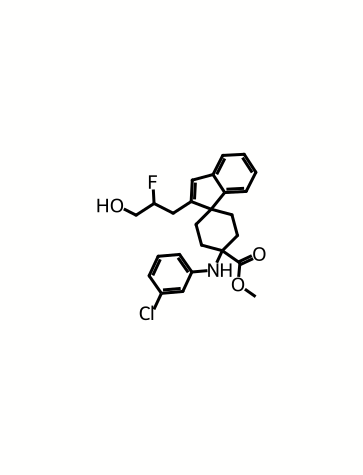 COC(=O)C1(Nc2cccc(Cl)c2)CCC2(CC1)C(CC(F)CO)=Cc1ccccc12